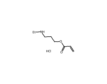 C=CC(=O)OCCCNCC.Cl